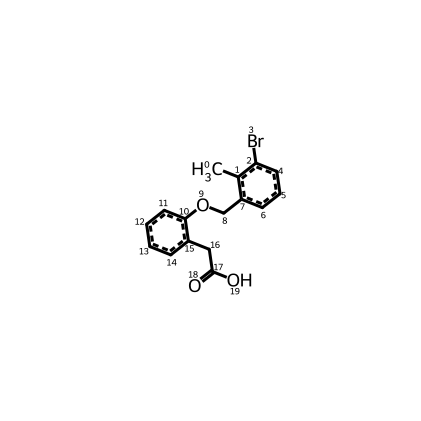 Cc1c(Br)cccc1COc1ccccc1CC(=O)O